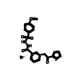 COc1ccc(S(=O)(=O)NNC(=O)c2ccc[n+](CC(=O)c3cccs3)c2)cc1.[Br-]